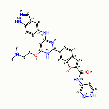 CN(C)CCOC1=CC(Nc2ccc3[nH]ncc3c2)=NC(c2ccc3cc(C(=O)NC4=CNNC=C4)sc3c2)N1